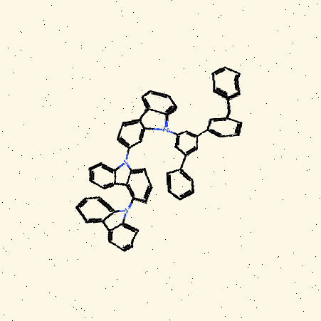 c1ccc(-c2cccc(-c3cc(-c4ccccc4)cc(-n4c5ccccc5c5ccc(-n6c7ccccc7c7c(-n8c9ccccc9c9ccccc98)cccc76)cc54)c3)c2)cc1